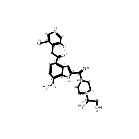 COc1ccc(C(=O)Cc2c(Cl)cncc2Cl)c2cc(C(=O)N3CCN(C(C)CO)CC3)oc12